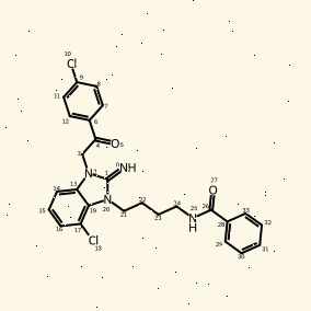 N=c1n(CC(=O)c2ccc(Cl)cc2)c2cccc(Cl)c2n1CCCCNC(=O)c1ccccc1